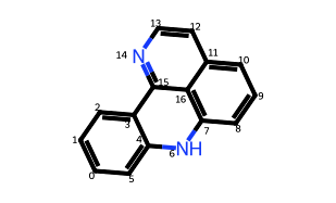 c1ccc2c(c1)Nc1cccc3ccnc-2c13